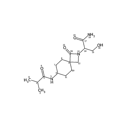 CC(C)C(=O)NC1CCC2(CC1)CN(C(CO)C(N)=O)C2=O